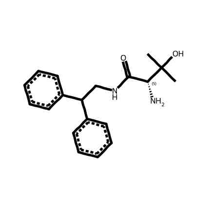 CC(C)(O)[C@H](N)C(=O)NCC(c1ccccc1)c1ccccc1